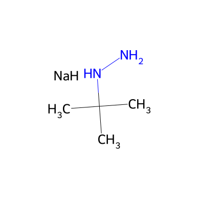 CC(C)(C)NN.[NaH]